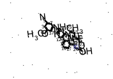 COc1cc(C#N)cc(Nc2ncc(-c3cccc(/C=C/C(=O)O)c3)c(-n3nc(C(F)(F)F)cc3C)n2)c1